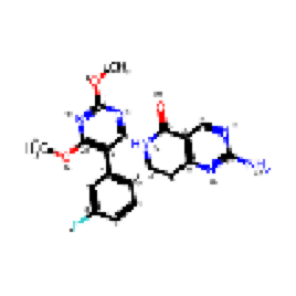 COc1ncc(-c2cc(F)ccc2[C@H]2Cc3nc(N)ncc3C(=O)N2)c(OC)n1